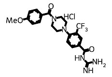 COc1ccc(C(=O)N2CCN(c3ccc(C(=O)NC(=N)N)cc3C(F)(F)F)CC2)cc1.Cl